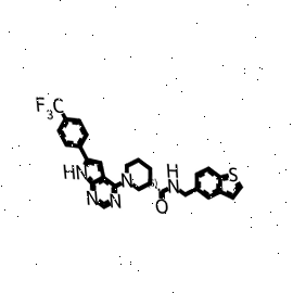 O=C(NCc1ccc2sccc2c1)[C@H]1CCCN(c2ncnc3[nH]c(-c4ccc(C(F)(F)F)cc4)cc23)C1